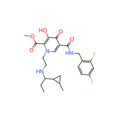 CCC(NCCn1cc(C(=O)NCc2ccc(F)cc2F)c(=O)c(O)c1C(=O)OC)C1CC1C